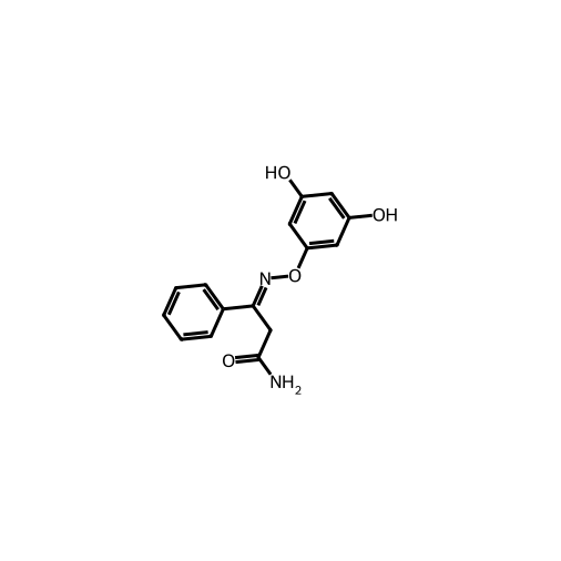 NC(=O)C/C(=N\Oc1cc(O)cc(O)c1)c1ccccc1